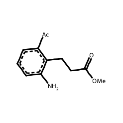 COC(=O)CCc1c(N)cccc1C(C)=O